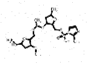 BBC1CC(OC)C(COP(C)OC2CC(B)OC2COP(=O)(O)n2ccnc2C)O1